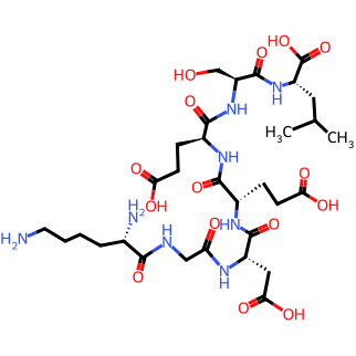 CC(C)C[C@H](NC(=O)[C@H](CO)NC(=O)[C@H](CCC(=O)O)NC(=O)[C@H](CCC(=O)O)NC(=O)[C@H](CC(=O)O)NC(=O)CNC(=O)[C@@H](N)CCCCN)C(=O)O